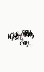 CCCCCCCCC1(CCCCCCCC)c2cc(B3OC(C)(C)C(C)(C)O3)c(C)cc2-c2cc(C)c(B3OC(C)(C)C(C)(C)O3)cc21